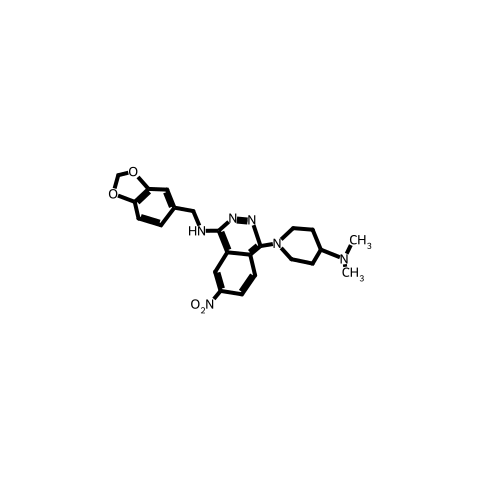 CN(C)C1CCN(c2nnc(NCc3ccc4c(c3)OCO4)c3cc([N+](=O)[O-])ccc23)CC1